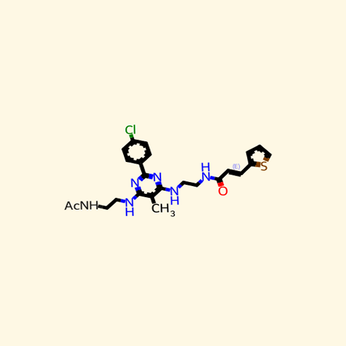 CC(=O)NCCNc1nc(-c2ccc(Cl)cc2)nc(NCCNC(=O)/C=C/c2cccs2)c1C